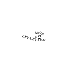 COC(=O)c1ccc(OC(C)C(=O)c2ccc(OCc3ccccc3)cn2)c(OC(C)=O)c1